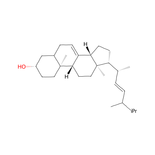 CC(C)C(C)C=C[C@@H](C)[C@H]1CC[C@H]2C3=CCC4C[C@@H](O)CC[C@]4(C)[C@H]3CC[C@]12C